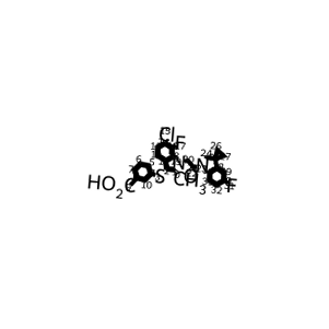 Cc1c(Sc2cccc(C(=O)O)c2)c2ccc(Cl)c(F)c2n1CC(=O)N1CC2(CC2)c2cc(F)ccc21